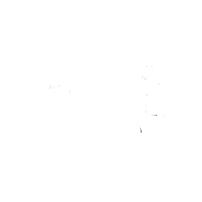 CC#CC[C@H](C)[C@H](O)/C=C/[C@H]1CCC(=O)N1CC=CCCCC(=O)O